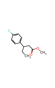 CCC(CC(=O)OC)c1ccc(F)cc1